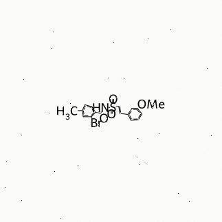 COc1cccc(C=CS(=O)(=O)NC(=O)c2ccc(C)cc2Br)c1